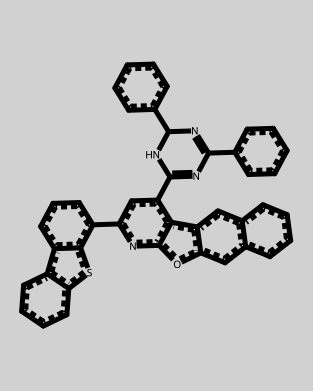 c1ccc(C2=NC(c3ccccc3)NC(c3cc(-c4cccc5c4sc4ccccc45)nc4oc5cc6ccccc6cc5c34)=N2)cc1